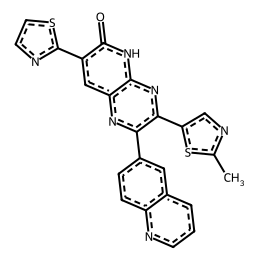 Cc1ncc(-c2nc3[nH]c(=O)c(-c4nccs4)cc3nc2-c2ccc3ncccc3c2)s1